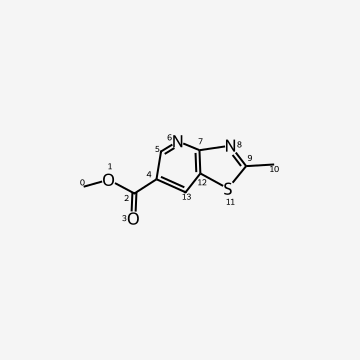 COC(=O)c1cnc2nc(C)sc2c1